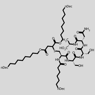 CCCCCCCCCCCCCCCCCCOC(=O)CC(SC[C@H](NC(=O)CCCCCCCCCCCCCCC)C(=O)N[C@@H](CO)C(=O)N[C@@H](CO)C(=O)N[C@@H](CC(N)=O)C(=O)N[C@@H](C)C(=O)O)C(=O)OCCCCCCCCCCCCCCCCCC